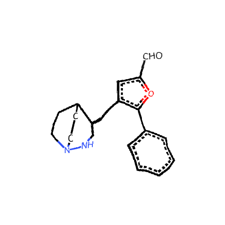 O=Cc1cc(C2CNN3CCC2CC3)c(-c2ccccc2)o1